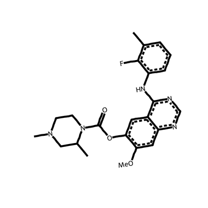 COc1cc2ncnc(Nc3cccc(C)c3F)c2cc1OC(=O)N1CCN(C)CC1C